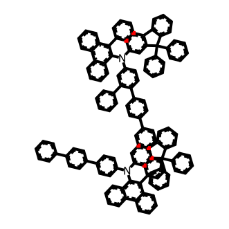 c1ccc(-c2ccc(-c3ccc(N(c4ccc5c(c4)C(c4ccccc4)(c4ccccc4)c4ccccc4-5)c4c(-c5cccc(-c6ccc(-c7ccc(-c8ccc(N(c9ccc%10c(c9)C(c9ccccc9)(c9ccccc9)c9ccccc9-%10)c9c(-c%10ccccc%10)c%10ccccc%10c%10ccccc9%10)cc8-c8ccccc8)cc7)cc6)c5)c5ccccc5c5ccccc45)cc3)cc2)cc1